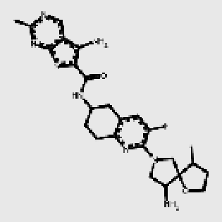 Cc1ncc2c(N)c(C(=O)NC3CCc4nc(N5CC(N)C6(C5)OCCC6C)c(F)cc4C3)sc2n1